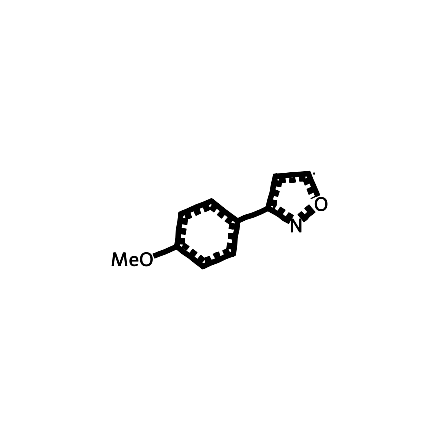 COc1ccc(-c2c[c]on2)cc1